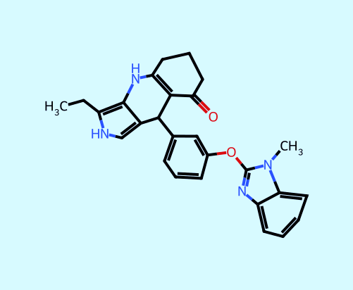 CCc1[nH]cc2c1NC1=C(C(=O)CCC1)C2c1cccc(Oc2nc3ccccc3n2C)c1